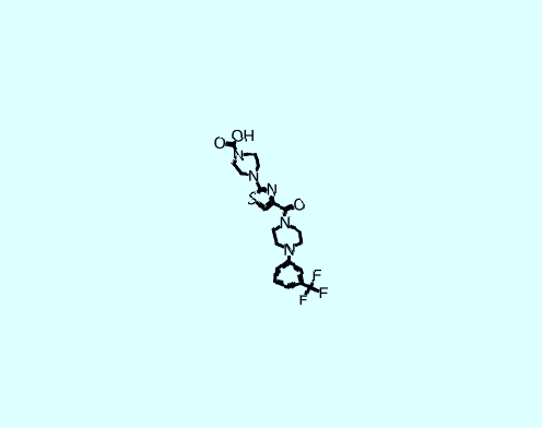 O=C(O)N1CCN(c2nc(C(=O)N3CCN(c4cccc(C(F)(F)F)c4)CC3)cs2)CC1